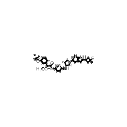 COC(C(=O)Nc1ccc(NC2CCN(c3cc4cc(C5CC(F)(F)C5)[nH]c4nn3)C2)nn1)c1cccc(OC(F)(F)F)c1